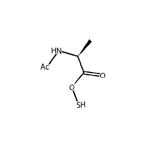 CC(=O)N[C@@H](C)C(=O)OS